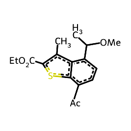 CCOC(=O)c1sc2c(C(C)=O)ccc(C(C)OC)c2c1C